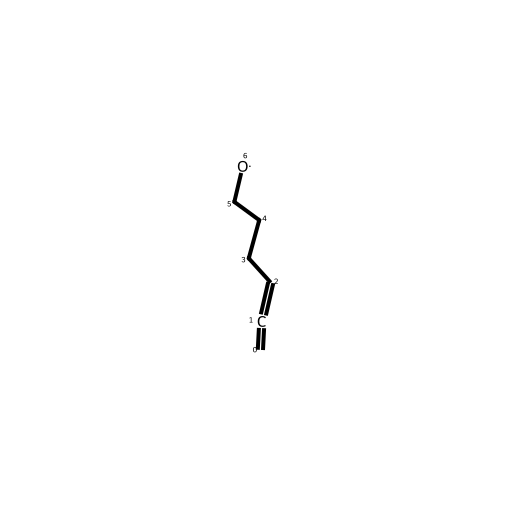 C=C=CCCC[O]